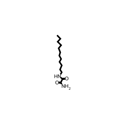 CCCCCCCCCCCCNC(=O)C(N)=O